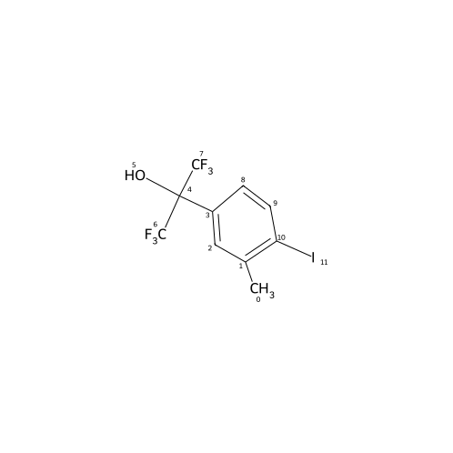 Cc1cc(C(O)(C(F)(F)F)C(F)(F)F)ccc1I